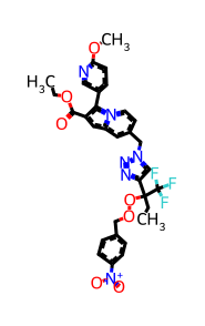 CCOC(=O)c1cc2cc(Cn3cc(C(CC)(OOCc4ccc([N+](=O)[O-])cc4)C(F)(F)F)nn3)ccn2c1-c1ccc(OC)nc1